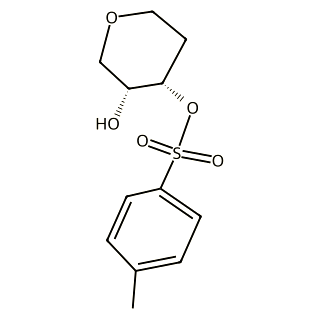 Cc1ccc(S(=O)(=O)O[C@H]2CCOC[C@H]2O)cc1